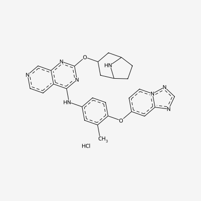 Cc1cc(Nc2nc(OC3CC4CCC(C3)N4)nc3cnccc23)ccc1Oc1ccn2ncnc2c1.Cl